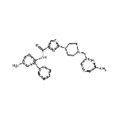 Cc1ccc(NC(=O)c2csc(C3CCN(Cc4cccc(C)n4)CC3)n2)c(-c2ccccc2)c1